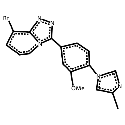 COc1cc(-c2nnc3c(Br)cccn23)ccc1-n1cnc(C)c1